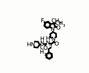 CC1(NC(=O)N[C@@H](CCc2ccccc2)C(=O)N2CCC(N3C(=O)C(C)(C)c4cc(F)ccc43)CC2)CCNCC1